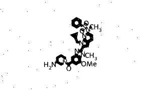 COc1cc(C(=O)N2CCC[C@@H](N)C2)cc2nc(-c3cc4ccc(N(C)S(=O)(=O)c5ccccc5)nc4n3CC3CC3)n(C)c12